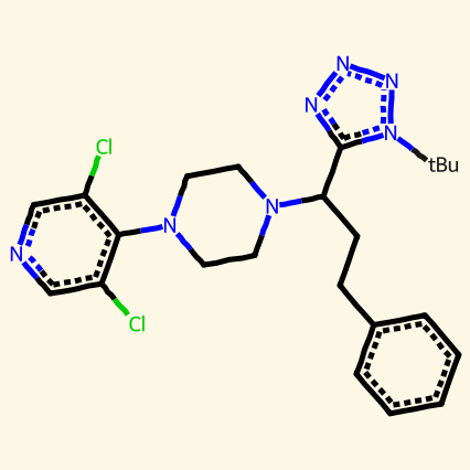 CC(C)(C)n1nnnc1C(CCc1ccccc1)N1CCN(c2c(Cl)cncc2Cl)CC1